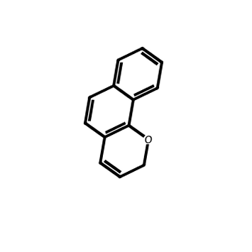 C1=Cc2ccc3ccccc3c2OC1